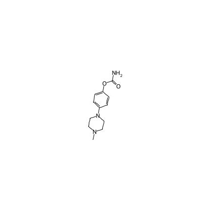 CN1CCN(c2ccc(OC(N)=O)cc2)CC1